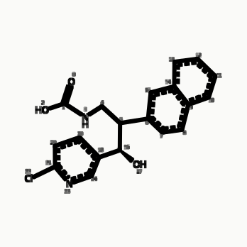 O=C(O)NCC(c1ccc2ccccc2c1)[C@@H](O)c1ccc(Cl)nc1